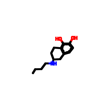 CCCCN[C@H]1CCc2c(ccc(O)c2O)C1